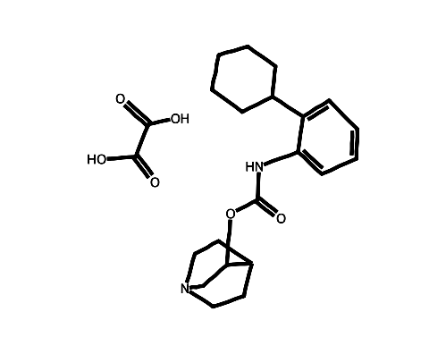 O=C(Nc1ccccc1C1CCCCC1)OC1CN2CCC1CC2.O=C(O)C(=O)O